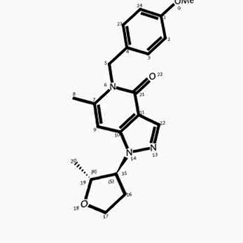 COc1ccc(Cn2c(C)cc3c(cnn3[C@H]3CCO[C@@H]3C)c2=O)cc1